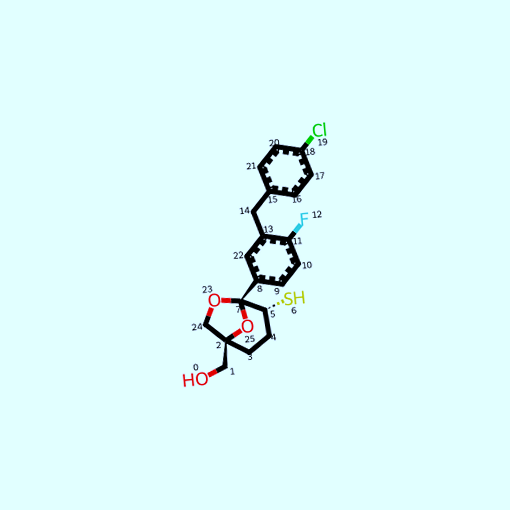 OC[C@@]12CC[C@@H](S)[C@@](c3ccc(F)c(Cc4ccc(Cl)cc4)c3)(OC1)O2